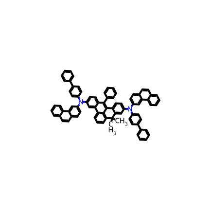 CC1(C)c2cc(N(c3ccc(-c4ccccc4)cc3)c3ccc4ccc5ccccc5c4c3)ccc2-c2c(-c3ccccc3)c3ccc(N(c4ccc(-c5ccccc5)cc4)c4ccc5ccc6ccccc6c5c4)cc3c3cccc1c23